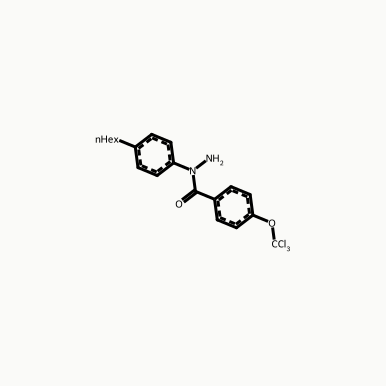 CCCCCCc1ccc(N(N)C(=O)c2ccc(OC(Cl)(Cl)Cl)cc2)cc1